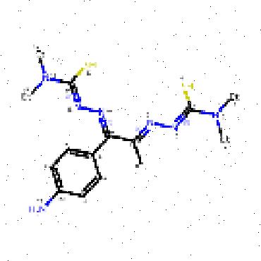 CCN(CC)/C(S)=N/N=C(C)/C(=N/N=C(\S)N(CC)CC)c1ccc(N)cc1